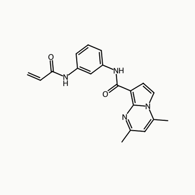 C=CC(=O)Nc1cccc(NC(=O)c2ccn3c(C)cc(C)nc23)c1